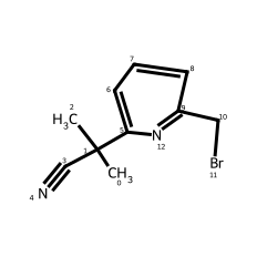 CC(C)(C#N)c1cccc(CBr)n1